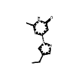 CCc1cnn(-c2cc(=O)[nH]c(C)n2)c1